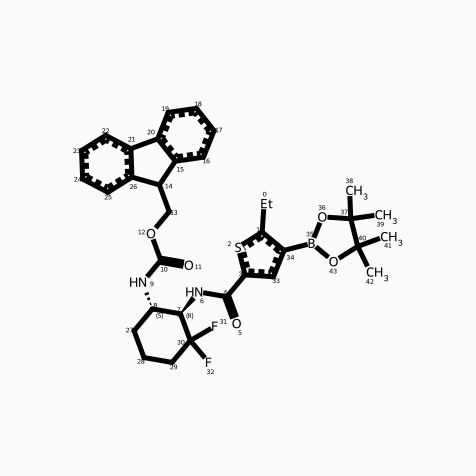 CCc1sc(C(=O)N[C@@H]2[C@@H](NC(=O)OCC3c4ccccc4-c4ccccc43)CCCC2(F)F)cc1B1OC(C)(C)C(C)(C)O1